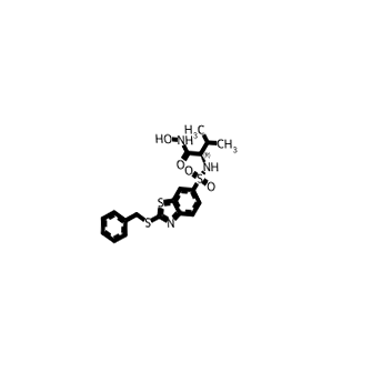 CC(C)[C@@H](NS(=O)(=O)c1ccc2nc(SCc3ccccc3)sc2c1)C(=O)NO